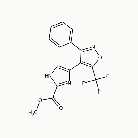 COC(=O)c1nc(-c2c(-c3ccccc3)noc2C(F)(F)F)c[nH]1